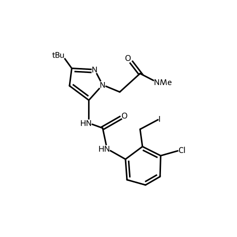 CNC(=O)Cn1nc(C(C)(C)C)cc1NC(=O)Nc1cccc(Cl)c1CI